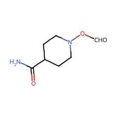 NC(=O)C1CCN(OC=O)CC1